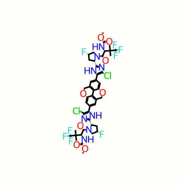 COC(=O)N[C@H](C(=O)N1C[C@@H](F)C[C@H]1c1nc(Cl)c(-c2cc3c4c(c2)OCc2cc(-c5[nH]c([C@@H]6C[C@H](F)CN6C(=O)[C@@H](NC(=O)OC)C(C)(C)C(F)(F)F)nc5Cl)cc(c2-4)OC3)[nH]1)C(C)(C)C(F)(F)F